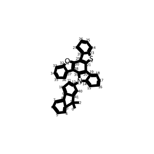 CC1(C)c2ccccc2-c2ccc(-n3c4ccccc4c4c5sc6ccccc6c5c5oc6ccccc6c5c43)cc21